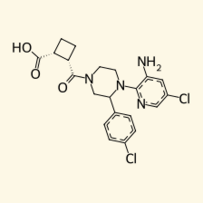 Nc1cc(Cl)cnc1N1CCN(C(=O)[C@H]2CC[C@H]2C(=O)O)CC1c1ccc(Cl)cc1